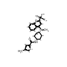 Cc1csc(C(=O)N[C@H]2CC[C@@H](N(C)c3cc(C(F)(F)F)nc4ccccc34)CC2)c1